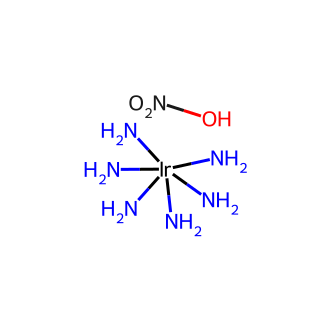 O=[N+]([O-])O.[NH2][Ir]([NH2])([NH2])([NH2])([NH2])[NH2]